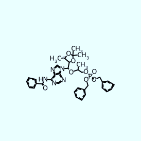 CC(COP(=O)(OCc1ccccc1)OCc1ccccc1)OC(C1OC(C)(C)O[C@H]1C)n1cnc2c(NC(=O)c3ccccc3)ncnc21